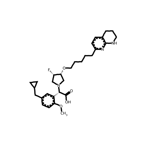 COc1ccc(CC2CC2)cc1[C@@H](C(=O)O)N1C[C@H](F)[C@H](OCCCCCc2ccc3c(n2)NCCC3)C1